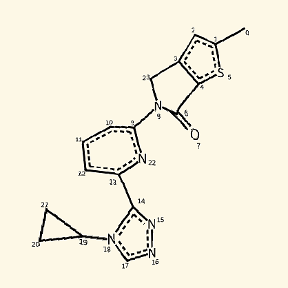 Cc1cc2c(s1)C(=O)N(c1cccc(-c3nncn3C3CC3)n1)C2